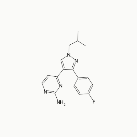 CC(C)Cn1cc(-c2ccnc(N)n2)c(-c2ccc(F)cc2)n1